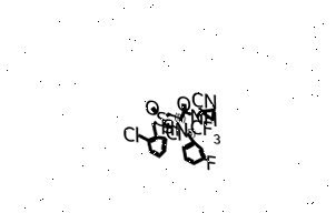 N#CC1(NC(=O)[C@H](CS(=O)(=S)Cc2c(Cl)cccc2Cl)N[C@@H](c2cccc(F)c2)C(F)(F)F)CC1